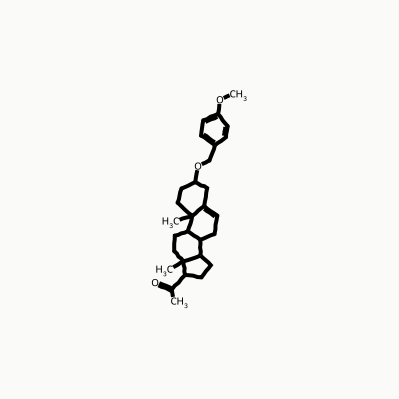 COc1ccc(COC2CCC3(C)C(=CCC4C3CCC3(C)C(C(C)=O)CCC43)C2)cc1